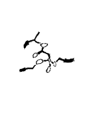 C#CCOP(=O)(CC(=O)OC(C)C#C)OCC#C